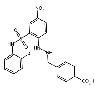 O=C(O)c1ccc(CNNc2ccc([N+](=O)[O-])cc2S(=O)(=O)Nc2ccccc2Cl)cc1